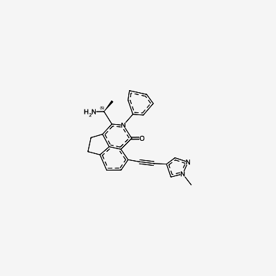 C[C@H](N)c1c2c3c(ccc(C#Cc4cnn(C)c4)c3c(=O)n1-c1ccccc1)CC2